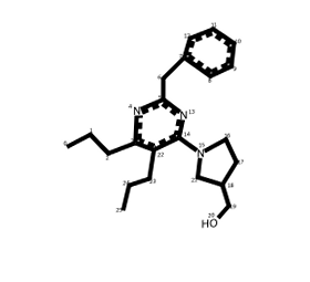 CCCc1nc(Cc2ccccc2)nc(N2CCC(CO)C2)c1CCC